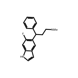 CNCCC(c1ccccc1)c1cc2cc[nH]c2cc1F